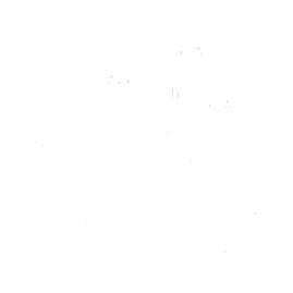 CC(=O)[O][Ti]([O]C(C)=O)([O]C(C)=O)[CH]1C2=C(CCCC2)C2=C1CCCC2